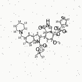 COc1cc(-c2cc3cc(CN4CCCCC4)ccc3n2C(=O)OC(C)(C)C)c2c(c1OS(=O)(=O)c1ccsc1)CNC2=O